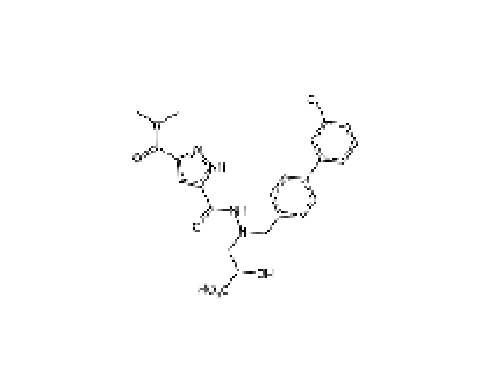 CN(C)C(=O)c1cc(C(=O)NN(Cc2ccc(-c3cccc(Cl)c3)cc2)CC(O)C(=O)O)[nH]n1